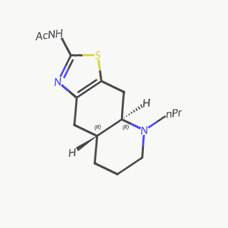 CCCN1CCC[C@@H]2Cc3nc(NC(C)=O)sc3C[C@H]21